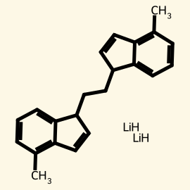 Cc1cccc2c1C=CC2CCC1C=Cc2c(C)cccc21.[LiH].[LiH]